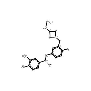 Cc1cc([C@H](Nc2ccc(Cl)c(CN3CC(OC(=O)O)C3)c2)C(C)C)ccc1Cl